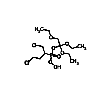 CCOCC(OCC)(OCC)OP(=O)(OO)C(CCl)CCCl